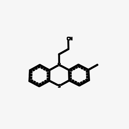 Cc1ccc2c(c1)N(CCC#N)c1ccccc1S2